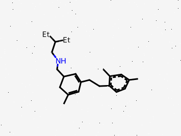 CCC(CC)CNCC1C=C(CCc2ccc(C)cc2C)C=C(C)C1